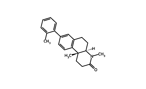 Cc1ccccc1-c1ccc2c(c1)CC[C@H]1N(C)C(=O)CC[C@]21C